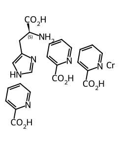 N[C@@H](Cc1c[nH]cn1)C(=O)O.O=C(O)c1ccccn1.O=C(O)c1ccccn1.O=C(O)c1ccccn1.[Cr]